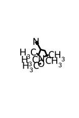 CON1C(C)(C)CC(C#N)C1(C)C